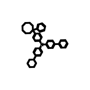 c1ccc(-c2ccc(N(c3ccc(C4CCCCC4)cc3)c3ccc(C4(c5ccccc5)CCCCCCC4)cc3)cc2)cc1